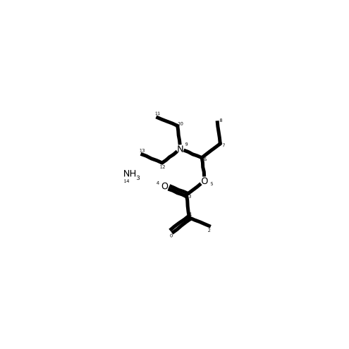 C=C(C)C(=O)OC(CC)N(CC)CC.N